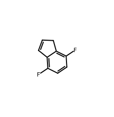 Fc1ccc(F)c2c1C=CC2